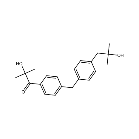 CC(C)(O)Cc1ccc(Cc2ccc(C(=O)C(C)(C)O)cc2)cc1